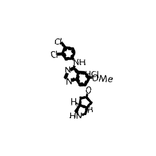 COc1cc2c(Nc3ccc(Cl)c(Cl)c3)ncnc2cc1OC1C[C@H]2CNC[C@H]2C1.Cl